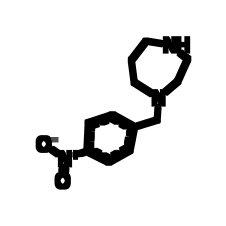 O=[N+]([O-])c1ccc(CN2CCCNCC2)cc1